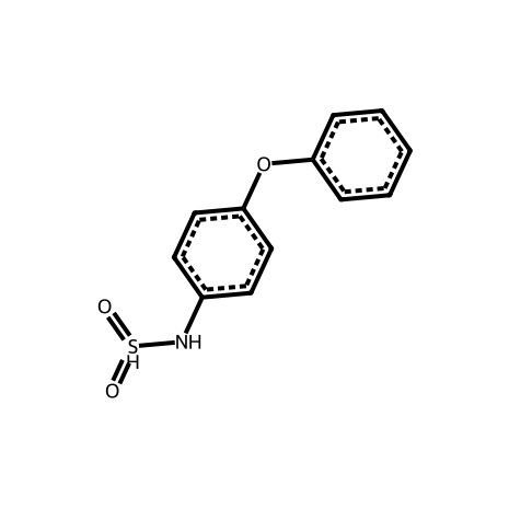 O=[SH](=O)Nc1ccc(Oc2ccccc2)cc1